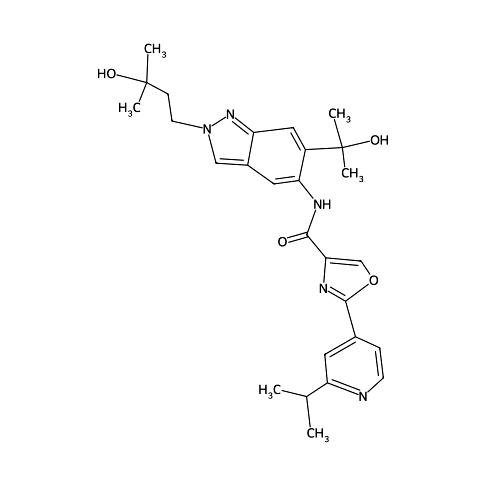 CC(C)c1cc(-c2nc(C(=O)Nc3cc4cn(CCC(C)(C)O)nc4cc3C(C)(C)O)co2)ccn1